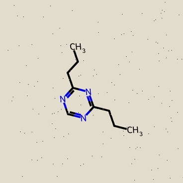 CCCc1ncnc(CCC)n1